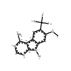 [2H]n1c2cc(OC)c(C(F)(F)F)cc2c2c(N)ncnc21